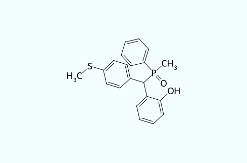 CSc1ccc(C(c2ccccc2O)P(C)(=O)c2ccccc2)cc1